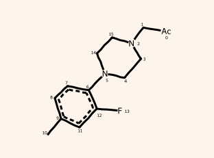 CC(=O)CN1CCN(c2ccc(C)cc2F)CC1